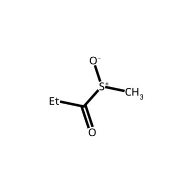 CCC(=O)[S+](C)[O-]